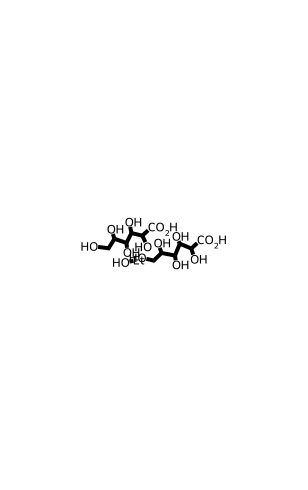 CCO.O=C(O)C(O)C(O)C(O)C(O)CO.O=C(O)C(O)C(O)C(O)C(O)CO